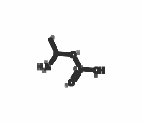 CC(N)OS(=O)O